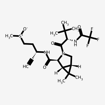 C#C[C@H](CC[S+](C)[O-])NC(=O)[C@@H]1[C@@H]2[C@H](CN1C(=O)[C@@H](NC(=O)C(F)(F)F)C(C)(C)C)C2(C)C